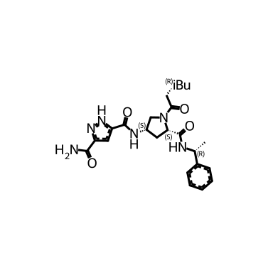 CC[C@@H](C)CC(=O)N1C[C@@H](NC(=O)c2cc(C(N)=O)n[nH]2)C[C@H]1C(=O)N[C@H](C)c1ccccc1